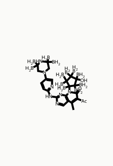 BC1(B)CN(c2ccc(Nc3ncc4c(C)c(C(C)=O)c(=O)n(C5(B)C(B)(B)C(B)(B)C(B)(O)C5(B)B)c4n3)nc2)CC(B)(B)N1